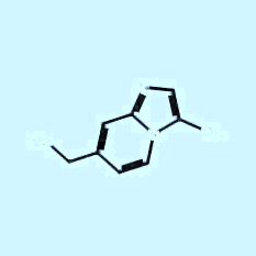 Cc1cnc2cc(CC(C)(C)C)ccn12